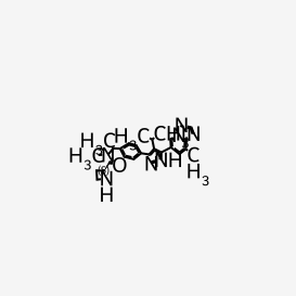 Cc1cc(-c2[nH]nc(-c3ccc(C(C)N(C)C(=O)[C@@H]4CCN4)cc3)c2C(C)C)cn2ncnc12